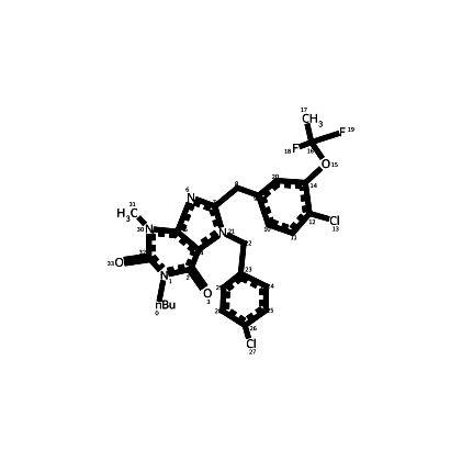 CCCCn1c(=O)c2c(nc(Cc3ccc(Cl)c(OC(C)(F)F)c3)n2Cc2ccc(Cl)cc2)n(C)c1=O